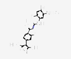 CC(=O)Nc1cc(N/C(C)=C/C(=O)c2ccc(-c3c(C)noc3C)cc2F)c(F)cc1Br